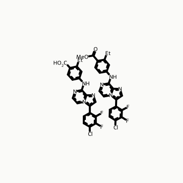 CCc1cc(Nc2nccn3c(-c4ccc(Cl)c(F)c4F)cnc23)ccc1C(=O)O.CCc1cc(Nc2nccn3c(-c4ccc(Cl)c(F)c4F)cnc23)ccc1C(=O)OC